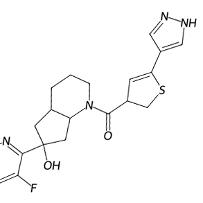 O=C(C1C=C(c2cn[nH]c2)SC1)N1CCCC2CC(O)(c3ncccc3F)CC21